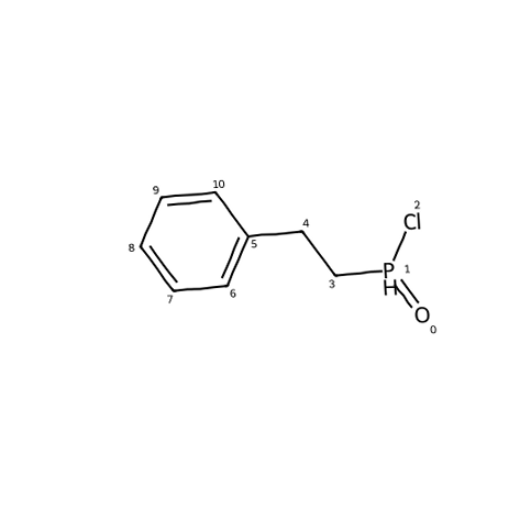 O=[PH](Cl)CCc1ccccc1